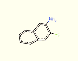 Nc1cc2ccccc2cc1F